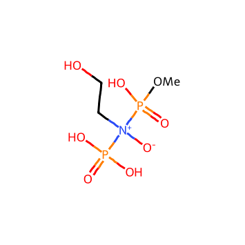 COP(=O)(O)[N+]([O-])(CCO)P(=O)(O)O